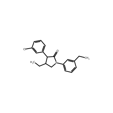 CCc1cccc(N2CC(CC)C(c3cccc(Cl)c3)C2=O)c1